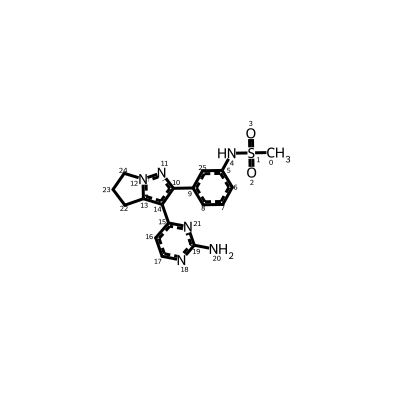 CS(=O)(=O)Nc1cccc(-c2nn3c(c2-c2ccnc(N)n2)CCC3)c1